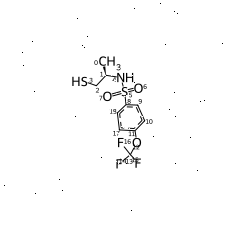 C[C@H](CS)NS(=O)(=O)c1ccc(OC(F)(F)F)cc1